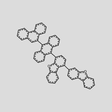 c1ccc2c(c1)cc(-c1c3ccccc3c(-c3ccc(-c4ccc5c(c4)oc4ccccc45)c4c3oc3ccccc34)c3ccccc13)c1ccccc12